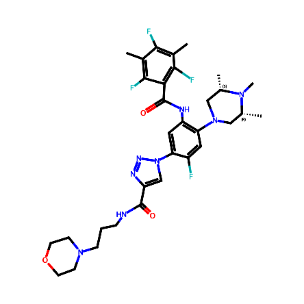 Cc1c(F)c(C)c(F)c(C(=O)Nc2cc(-n3cc(C(=O)NCCCN4CCOCC4)nn3)c(F)cc2N2C[C@@H](C)N(C)[C@@H](C)C2)c1F